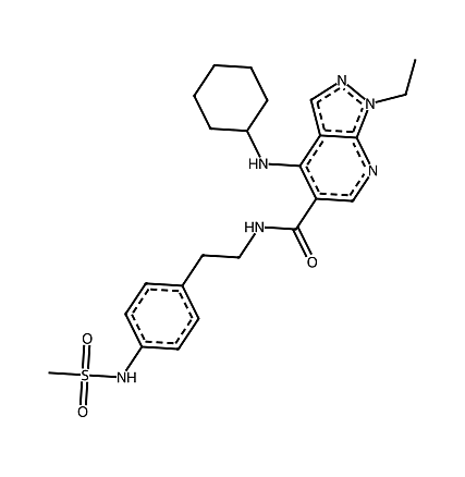 CCn1ncc2c(NC3CCCCC3)c(C(=O)NCCc3ccc(NS(C)(=O)=O)cc3)cnc21